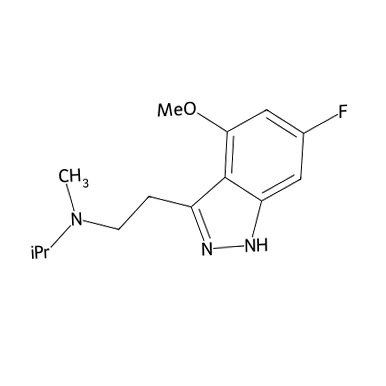 COc1cc(F)cc2[nH]nc(CCN(C)C(C)C)c12